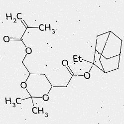 C=C(C)C(=O)OCC1CC(CC(=O)OC2(CC)C3CC4CC(C3)CC2C4)OC(C)(C)O1